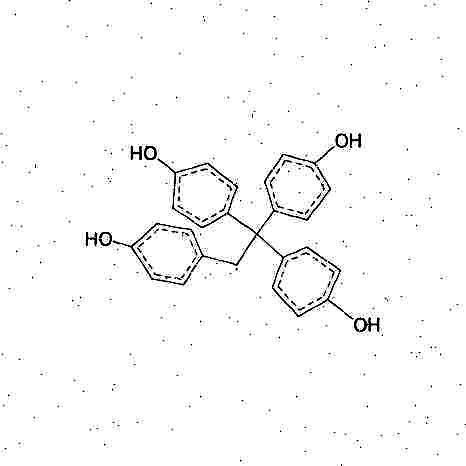 Oc1ccc([CH]C(c2ccc(O)cc2)(c2ccc(O)cc2)c2ccc(O)cc2)cc1